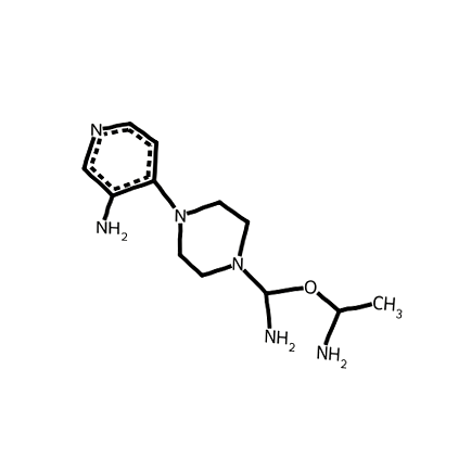 CC(N)OC(N)N1CCN(c2ccncc2N)CC1